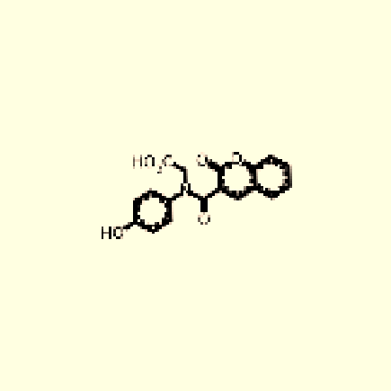 O=C(O)CN(C(=O)c1cc2ccccc2oc1=O)c1ccc(O)cc1